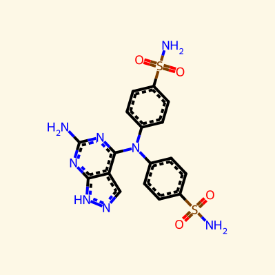 Nc1nc(N(c2ccc(S(N)(=O)=O)cc2)c2ccc(S(N)(=O)=O)cc2)c2cn[nH]c2n1